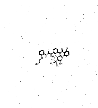 C[C@@H](c1nc2cccc(Cl)c2c(=O)n1-c1cccc(NC(=O)Nc2ccccc2OCCO)c1)N(C(=O)O)C(C)(C)C